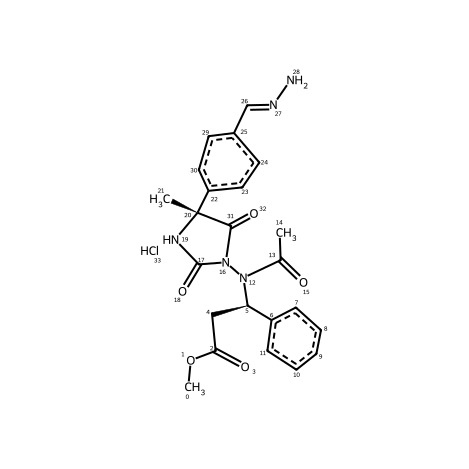 COC(=O)C[C@H](c1ccccc1)N(C(C)=O)N1C(=O)N[C@](C)(c2ccc(C=NN)cc2)C1=O.Cl